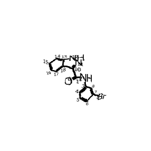 O=C(Nc1cccc(Br)c1)c1n[nH]c2ccccc12